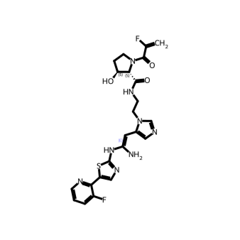 C=C(F)C(=O)N1CC[C@H](O)[C@H]1C(=O)NCCn1cncc1/C=C(\N)Nc1ncc(-c2ncccc2F)s1